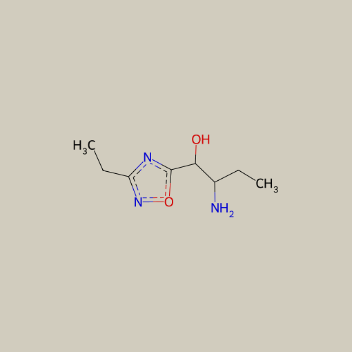 CCc1noc(C(O)C(N)CC)n1